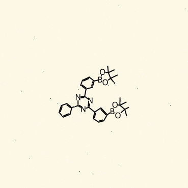 CC1(C)OB(c2cccc(-c3nc(-c4ccccc4)nc(-c4cccc(B5OC(C)(C)C(C)(C)O5)c4)n3)c2)OC1(C)C